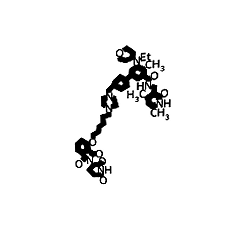 CCN(c1cc(-c2ccc(CN3CCN(CCCCCCOc4cccc5c4C(=O)N(C4CCC(=O)NC4=O)C5=O)CC3)cc2)cc(C(=O)NCc2c(C)cc(C)[nH]c2=O)c1C)C1CCOCC1